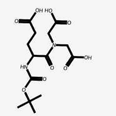 CC(C)(C)OC(=O)NC(CCC(=O)O)C(=O)N(CC(=O)O)CC(=O)O